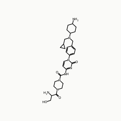 NC1CCC(N(Cc2ccc(-n3ccc(NC(=O)N4CCN(C(=O)C(N)CO)CC4)nc3=O)cc2)CC2CC2)CC1